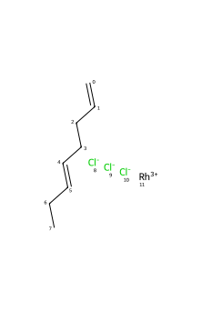 C=CCCC=CCC.[Cl-].[Cl-].[Cl-].[Rh+3]